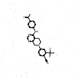 CC(=O)c1ccc(Nc2ncnc3c2CCN(c2ccc(C#N)c(C(F)(F)F)c2)C3)cc1